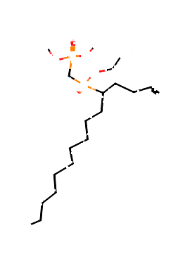 C=CCCC(CCCCCCCCCC)P(=O)(CP(=O)(OC)OC)OCC